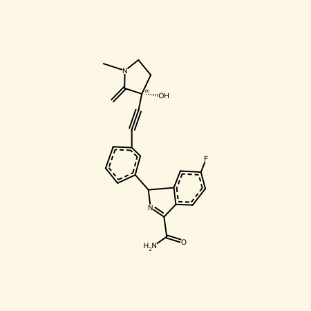 C=C1N(C)CC[C@@]1(O)C#Cc1cccc(C2N=C(C(N)=O)c3ccc(F)cc32)c1